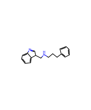 C1=Nc2ccccc2C1CNCCCc1ccccc1